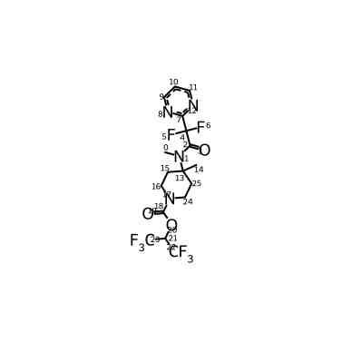 CN(C(=O)C(F)(F)c1ncccn1)C1(C)CCN(C(=O)OC(C(F)(F)F)C(F)(F)F)CC1